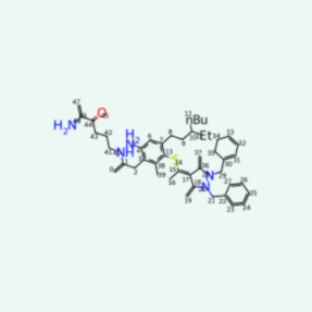 C=C(Cc1c(N)cc(CCC(CC)CCCC)c(S/C(C)=C2/C(=C)N(CC3=C=C=CC=C3)N(CC3=CC=CCC3)C2=C)c1C)NCCCC(=O)C(=C)N